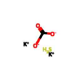 O=C([O-])[O-].S.[K+].[K+]